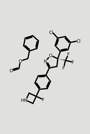 FC1(c2ccc(C3=NO[C@](c4cc(Cl)cc(Cl)c4)(C(F)(F)F)C3)cc2)CNC1.O=COCc1ccccc1